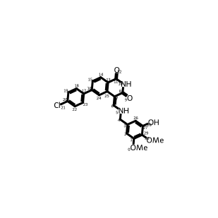 COc1cc(CN/C=C2\C(=O)NC(=O)c3ccc(-c4ccc(Cl)cc4)cc32)cc(O)c1OC